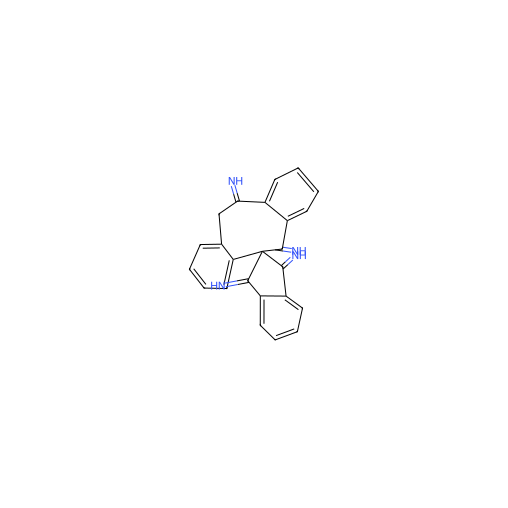 N=C1Cc2ccccc2C2(C(=N)c3ccccc31)C(=N)c1ccccc1C2=N